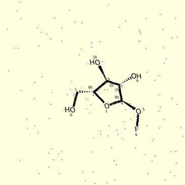 OC[C@H]1O[C@H](OF)[C@@H](O)[C@@H]1O